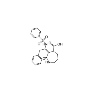 O=C1NCCCC(C(=O)O)C1=C(Cc1ccccc1)NS(=O)(=O)c1ccccc1